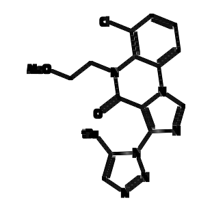 COCCn1c(=O)c2c(-n3nncc3C(C)(C)C)ncn2c2cccc(Cl)c21